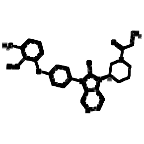 C=CC(=O)N1CCC[C@@H](n2c(=O)n(-c3ccc(Oc4cccc(C)c4OC)cc3)c3cnccc32)C1